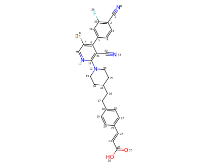 N#Cc1ccc(-c2c(Br)cnc(N3CCC(CCc4ccc(/C=C/C(=O)O)cc4)CC3)c2C#N)cc1F